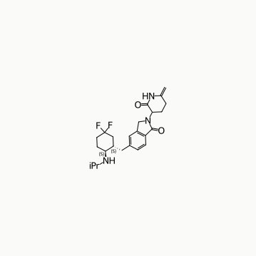 C=C1CCC(N2Cc3cc(C[C@H]4CC(F)(F)CC[C@@H]4NC(C)C)ccc3C2=O)C(=O)N1